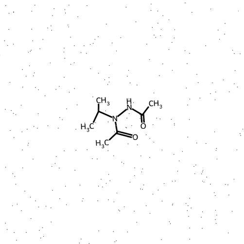 CC(=O)NN(C(C)=O)C(C)C